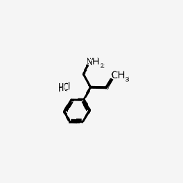 CCC(CN)c1ccccc1.Cl